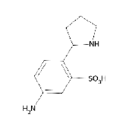 Nc1ccc(C2CCCN2)c(S(=O)(=O)O)c1